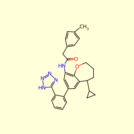 Cc1ccc(CC(=O)Nc2cc(-c3ccccc3-c3nnn[nH]3)cc3c2OCCCC3C2CC2)cc1